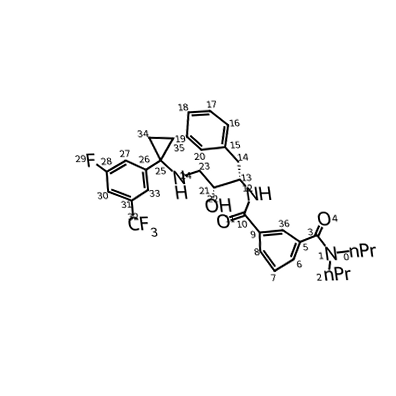 CCCN(CCC)C(=O)c1cccc(C(=O)N[C@@H](Cc2ccccc2)[C@H](O)CNC2(c3cc(F)cc(C(F)(F)F)c3)CC2)c1